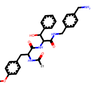 CCOc1ccc(CC(NC(=O)CC)C(=O)NC(C(=O)NCc2ccc(CN)cc2)C(O)c2ccccc2)cc1